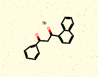 O=C(CC(=O)c1cccc2ccccc12)c1ccccc1.[Tb]